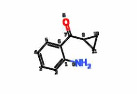 Nc1ccccc1C(=O)C1CC1